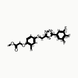 COC(=O)COc1ccc(SCc2nnc(-c3cc(F)c(F)c(F)c3)s2)cc1C